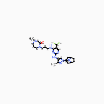 Cc1nn(C2CC3CCC(C2)N3C)cc1Nc1ncc(C(F)F)c(NCCCN2CCCN(C)CC2=O)n1